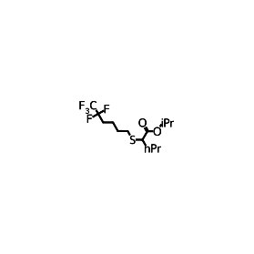 CCCC(SCCCCC(F)(F)C(F)(F)F)C(=O)OC(C)C